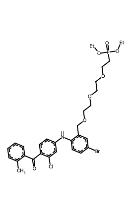 CCOP(=O)(CCOCCOCCOCc1cc(Br)ccc1Nc1ccc(C(=O)c2ccccc2C)c(Cl)c1)OCC